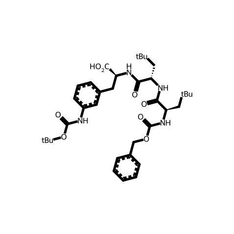 CC(C)(C)C[C@H](NC(=O)[C@@H](CC(C)(C)C)NC(=O)OCc1ccccc1)C(=O)N[C@@H](Cc1cccc(NC(=O)OC(C)(C)C)c1)C(=O)O